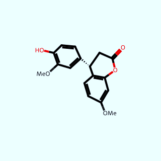 COc1ccc2c(c1)OC(=O)C[C@H]2c1ccc(O)c(OC)c1